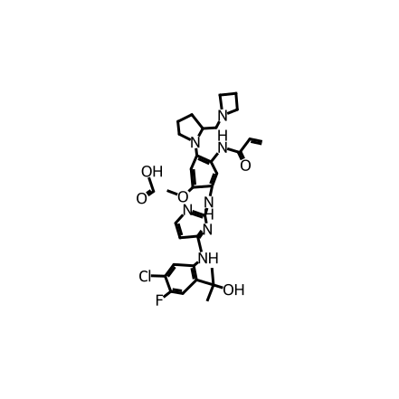 C=CC(=O)Nc1cc(Nc2nccc(Nc3cc(Cl)c(F)cc3C(C)(C)O)n2)c(OC)cc1N1CCCC1CN1CCC1.O=CO